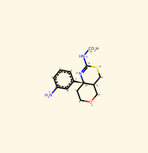 Nc1cccc([C@]23CCOCC2CSC(NC(=O)O)=N3)c1